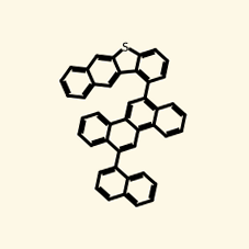 c1ccc2cc3c(cc2c1)sc1cccc(-c2cc4c5ccccc5c(-c5cccc6ccccc56)cc4c4ccccc24)c13